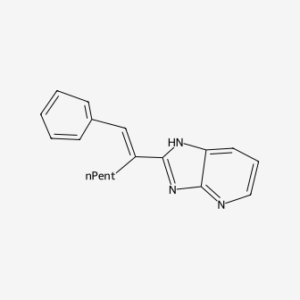 CCCCC/C(=C\c1ccccc1)c1nc2ncccc2[nH]1